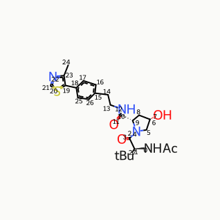 CC(=O)N[C@H](C(=O)N1C[C@@H](O)C[C@H]1C(=O)NCCc1ccc(-c2scnc2C)cc1)C(C)(C)C